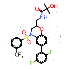 CC(C)(O)C(=O)NCC1CN(S(=O)(=O)c2cccc(C(F)(F)F)c2)c2cc(-c3cc(F)ccc3F)ccc2O1